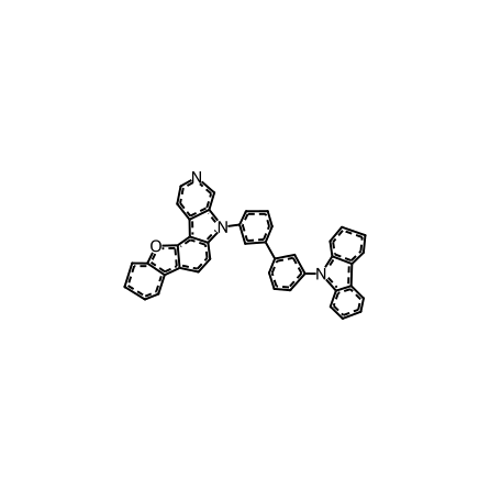 c1cc(-c2cccc(-n3c4cnccc4c4c5oc6ccccc6c5ccc43)c2)cc(-n2c3ccccc3c3ccccc32)c1